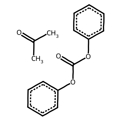 CC(C)=O.O=C(Oc1ccccc1)Oc1ccccc1